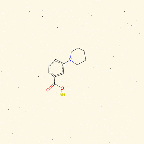 O=C(OS)c1cccc(N2CCCCC2)c1